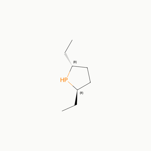 CC[C@@H]1CC[C@@H](CC)P1